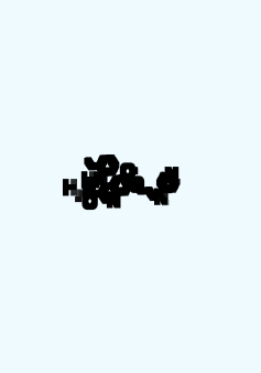 CCc1ccccc1Nc1c(C(N)=O)cnc2cc(OCCCN(C)c3ccncc3)c(OC)cc12